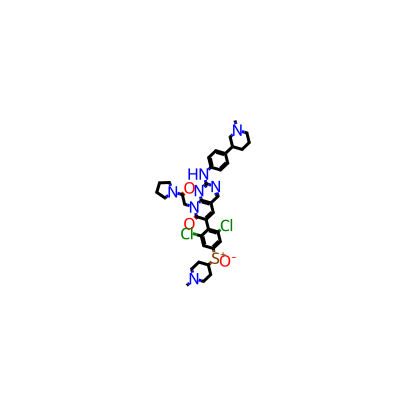 CN1CCC([S+]([O-])c2cc(Cl)c(-c3cc4cnc(Nc5ccc(C6CCCN(C)C6)cc5)nc4n(CC(=O)N4CCCC4)c3=O)c(Cl)c2)CC1